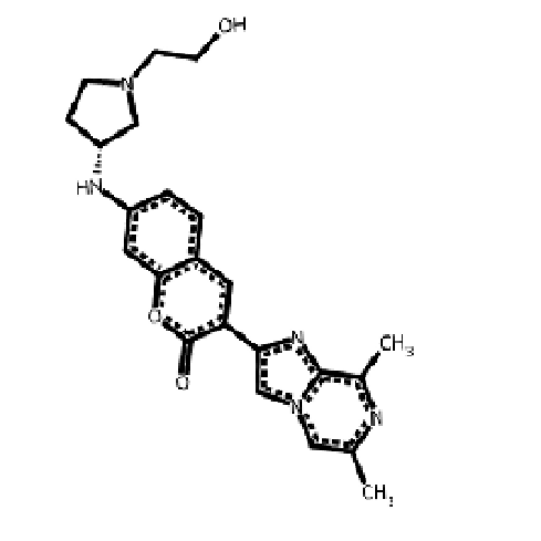 Cc1cn2cc(-c3cc4ccc(N[C@@H]5CCN(CCO)C5)cc4oc3=O)nc2c(C)n1